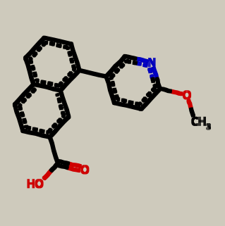 COc1ccc(-c2cccc3ccc(C(=O)O)cc23)cn1